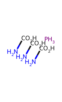 NC(=O)O.NC(=O)O.NC(=O)O.P